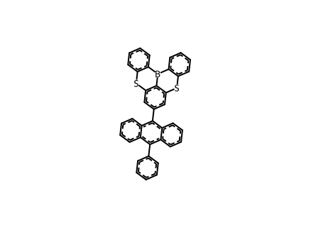 c1ccc(-c2c3ccccc3c(-c3cc4c5c(c3)Sc3ccccc3B5c3ccccc3S4)c3ccccc23)cc1